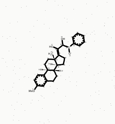 COc1ccc2c(c1)CC[C@@H]1[C@@H]2CC[C@]2(C)C(=C(O)C(O)[S+]([O-])c3ccccc3)CC[C@@H]12